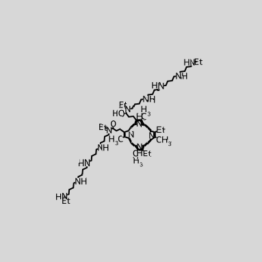 CCNCCCCNCCCCNCCCCNCCCCN(CC)C(=O)CCC1=C(C)c2cc3[nH]c(cc4nc(cc5[nH]c(cc1n2)c(CC[C@@H](O)N(CC)CCCCNCCCCNCCCCNCCCCNCC)c5C)C(CC)=C4C)c(CC)c3C